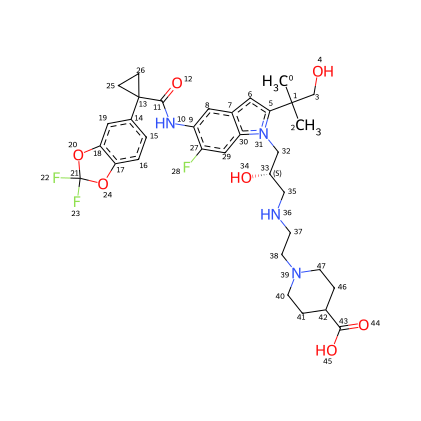 CC(C)(CO)c1cc2cc(NC(=O)C3(c4ccc5c(c4)OC(F)(F)O5)CC3)c(F)cc2n1C[C@@H](O)CNCCN1CCC(C(=O)O)CC1